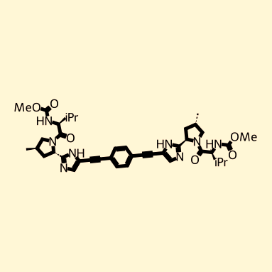 COC(=O)N[C@H](C(=O)N1C[C@@H](C)C[C@@H]1c1ncc(C#Cc2ccc(C#Cc3cnc([C@@H]4C[C@@H](C)CN4C(=O)[C@@H](NC(=O)OC)C(C)C)[nH]3)cc2)[nH]1)C(C)C